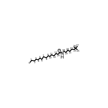 CCCCCCCCCCCCCCCC(=O)NCCCCCCC(C)(C)C